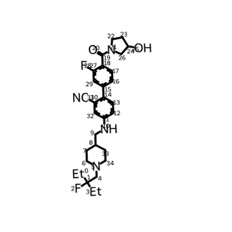 CCC(F)(CC)CN1CCC(CNc2ccc(-c3ccc(C(=O)N4CCC(O)C4)c(F)c3)c(C#N)c2)CC1